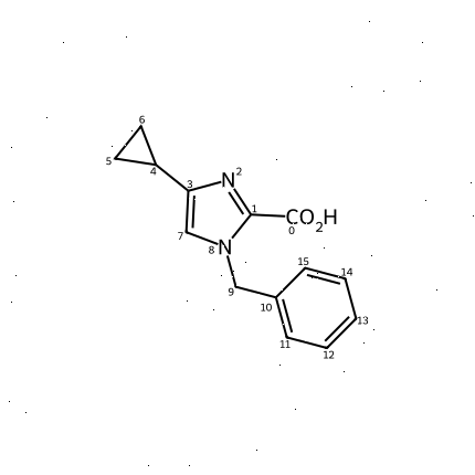 O=C(O)c1nc(C2CC2)cn1Cc1ccccc1